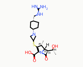 C[C@@H](O)[C@H]1C(=O)N2C(C(=O)O)=C(SC3CN([C@H]4CC[C@@H](CNC(=N)N)CC4)C3)[C@H](C)[C@H]12